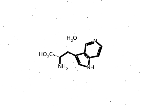 N[C@@H](Cc1c[nH]c2ccncc12)C(=O)O.O